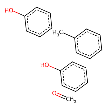 C=O.Cc1ccccc1.Oc1ccccc1.Oc1ccccc1